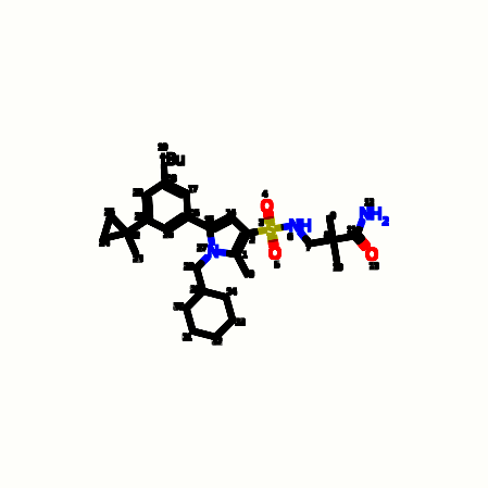 Cc1c(S(=O)(=O)NCC(C)(C)C(N)=O)cc(-c2cc(C(C)(C)C)cc(C3(C)CC3)c2)n1CC1CCCCC1